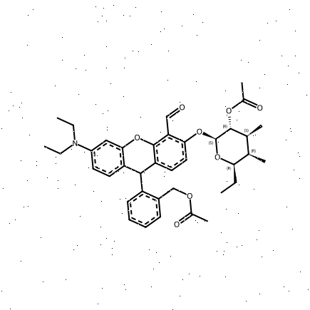 CC[C@H]1O[C@@H](Oc2ccc3c(c2C=O)Oc2cc(N(CC)CC)ccc2C3c2ccccc2COC(C)=O)[C@H](OC(C)=O)[C@@H](C)[C@H]1C